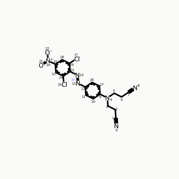 N#CCCN(CCC#N)c1ccc(/N=N/c2c(Cl)cc([N+](=O)[O-])cc2Cl)cc1